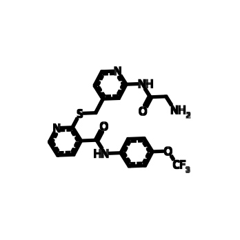 NCC(=O)Nc1cc(CSc2ncccc2C(=O)Nc2ccc(OC(F)(F)F)cc2)ccn1